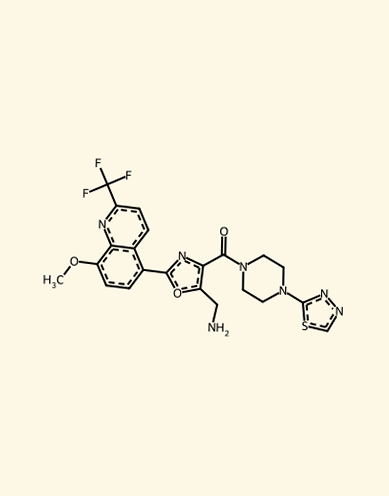 COc1ccc(-c2nc(C(=O)N3CCN(c4nncs4)CC3)c(CN)o2)c2ccc(C(F)(F)F)nc12